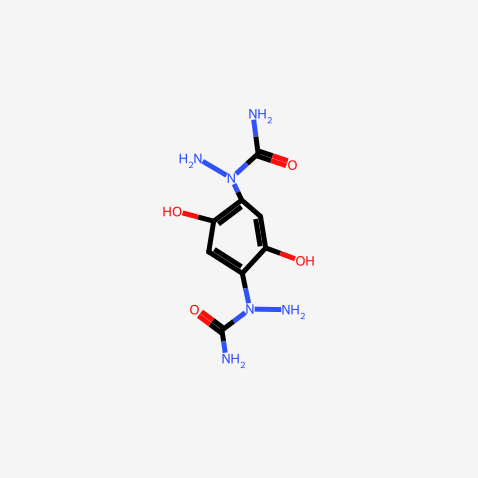 NC(=O)N(N)c1cc(O)c(N(N)C(N)=O)cc1O